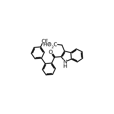 O=C(O)Cc1c(C(=O)c2ccccc2-c2cccc(C(F)(F)F)c2)[nH]c2ccccc12